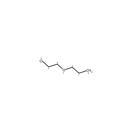 [CH2]CCOCCCl